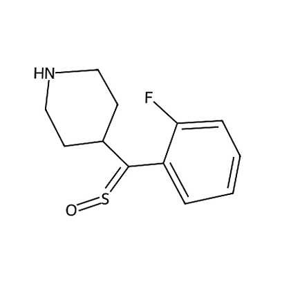 O=S=C(c1ccccc1F)C1CCNCC1